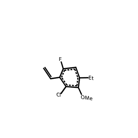 C=Cc1c(F)cc(CC)c(OC)c1Cl